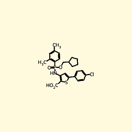 Cc1ccc(P(=O)(Nc2cc(-c3ccc(Cl)cc3)sc2C(=O)O)OCC2CCCC2)c(C)c1